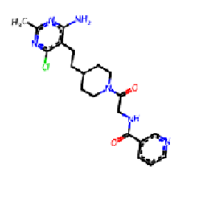 Cc1nc(N)c(CCC2CCN(C(=O)CNC(=O)c3cccnc3)CC2)c(Cl)n1